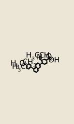 CN(C)Cc1cc(C(=O)O)ccc1-c1ccc2c(-c3ccc(C(C)(C)C)cc3)cccc2c1